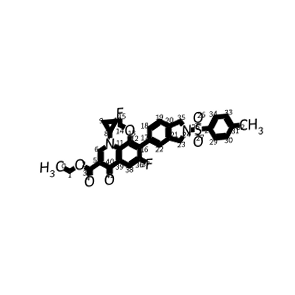 CCOC(=O)c1cn(C2CC2)c2c(OCF)c(-c3ccc4c(c3)CN(S(=O)(=O)c3ccc(C)cc3)C4)c(F)cc2c1=O